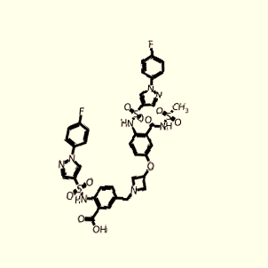 CS(=O)(=O)NC(=O)c1cc(OC2CN(Cc3ccc(NS(=O)(=O)c4cnn(-c5ccc(F)cc5)c4)c(C(=O)O)c3)C2)ccc1NS(=O)(=O)c1cnn(-c2ccc(F)cc2)c1